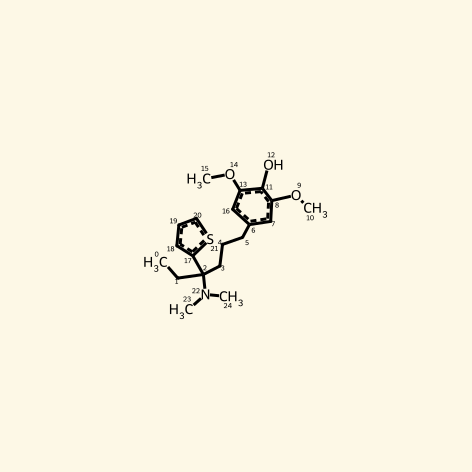 CCC(CCCc1cc(OC)c(O)c(OC)c1)(c1cccs1)N(C)C